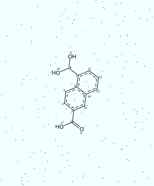 O=C(O)c1ccc2c(C(O)O)cccc2c1